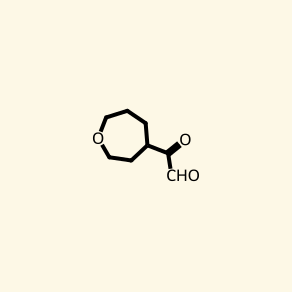 O=CC(=O)C1CCCOCC1